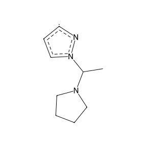 CC(N1CCCC1)n1cc[c]n1